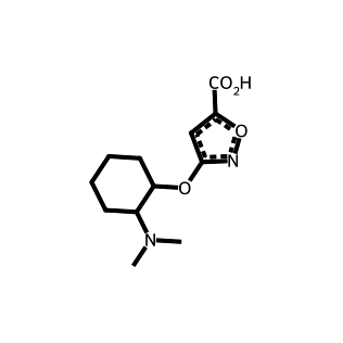 CN(C)C1CCCCC1Oc1cc(C(=O)O)on1